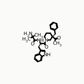 CC(=O)[C@@]1(Cc2ccccc2)CCCN(C(=O)[C@@H](Cc2c[nH]c3ccccc23)NC(=O)C(C)(C)N)C1